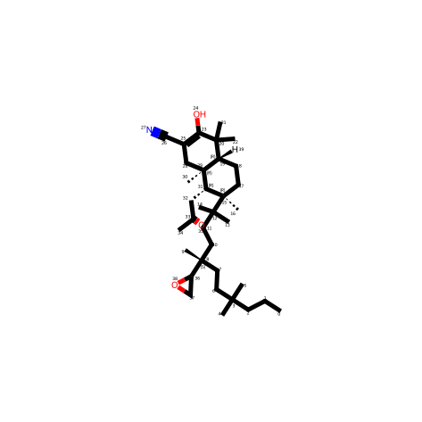 CCCC(C)(C)CC[C@@](C)(CCC(C)(C)[C@]1(C)CC[C@H]2C(C)(C)C(O)=C(C#N)C[C@]2(C)[C@H]1CC(C)=O)C1CO1